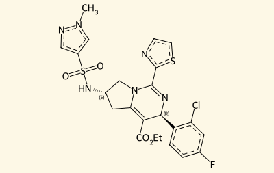 CCOC(=O)C1=C2C[C@H](NS(=O)(=O)c3cnn(C)c3)CN2C(c2nccs2)=N[C@H]1c1ccc(F)cc1Cl